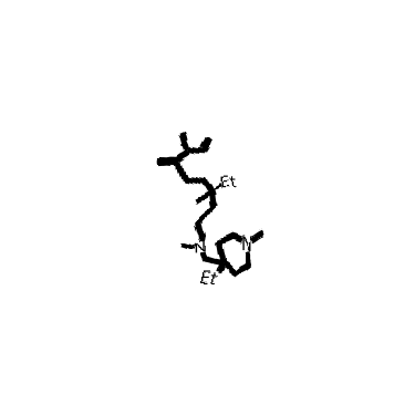 C=CC(C)C(=C)CC[C@](C)(CC)CCCN(C)CC1(CC)CCN(C)CC1